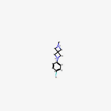 CN1CC2(C1)CN(c1ccc(F)cc1)C2